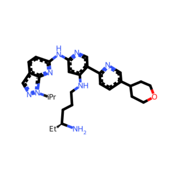 CC[C@H](N)CCCNc1cc(Nc2ccc3cnn(C(C)C)c3n2)ncc1-c1ccc(C2CCOCC2)cn1